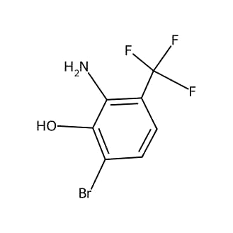 Nc1c(C(F)(F)F)ccc(Br)c1O